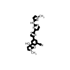 CN1CCC(O)(c2cc(C#N)cc(-c3csc(-c4ccnc(Nc5ccn(C)n5)n4)n3)c2)C1=O